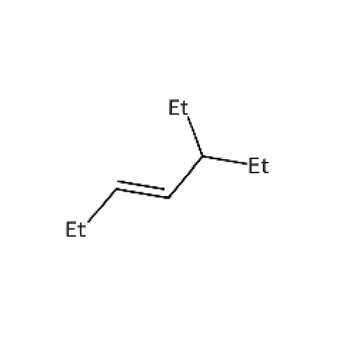 [CH2]CC(C=CCC)CC